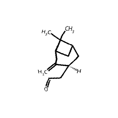 C=C1C2CC(C[C@H]1CC=O)C2(C)C